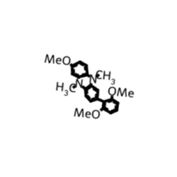 COc1ccc2c(c1)N(C)c1ccc(-c3c(OC)cccc3OC)cc1N2C